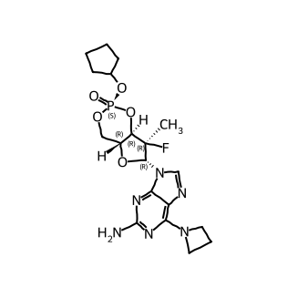 C[C@@]1(F)[C@@H]2O[P@](=O)(OC3CCCC3)OC[C@H]2O[C@H]1n1cnc2c(N3CCC3)nc(N)nc21